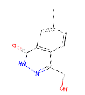 Cc1ccc2c(CO)n[nH]c(=O)c2c1